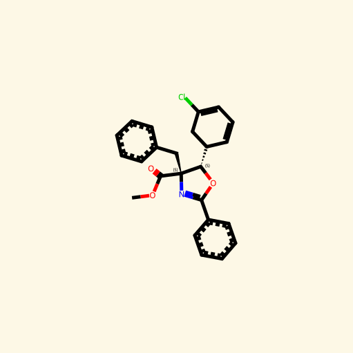 COC(=O)[C@@]1(Cc2ccccc2)N=C(c2ccccc2)O[C@H]1C1C=CC=C(Cl)C1